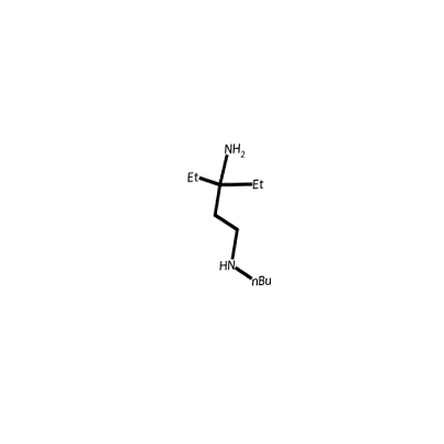 CCCCNCCC(N)(CC)CC